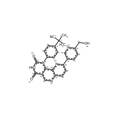 CC(C)(C#N)c1ccc(-n2c(=O)[nH]c(=O)c3cnc4ccc(-c5ccc(CO)nc5)nc4c32)cc1